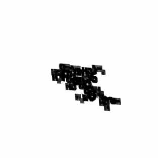 NCC(O)C(=O)N[C@@H]1C[C@H](N)[C@@H](O[C@H]2O[C@H](CNCC(O)CO)CC[C@H]2N)[C@H](O[C@@H]2O[C@H](CO)[C@@H](O[C@H]3O[C@@H](CN)[C@@H](O)[C@H](O)[C@H]3N)[C@H]2O)[C@H]1O